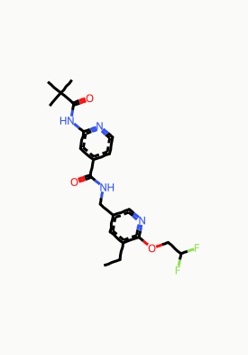 CCc1cc(CNC(=O)c2ccnc(NC(=O)C(C)(C)C)c2)cnc1OCC(F)F